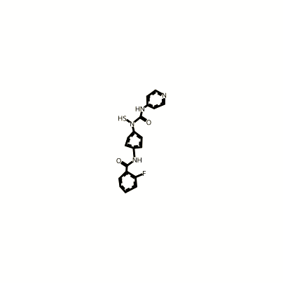 O=C(Nc1ccc(N(S)C(=O)Nc2ccncc2)cc1)c1ccccc1F